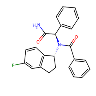 NC(=O)[C@@H](c1ccccc1)N(C(=O)c1ccccc1)[C@@H]1CCc2cc(F)ccc21